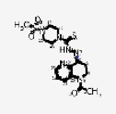 CC(=O)N1CC/C(=N/NC(=S)N2CCN(S(C)(=O)=O)CC2)c2ncccc21